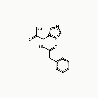 CC(C)(C)C(=O)C(NC(=O)Cc1ccccc1)n1cncn1